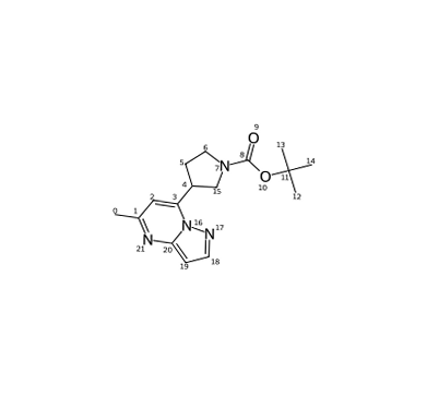 Cc1cc(C2CCN(C(=O)OC(C)(C)C)C2)n2nccc2n1